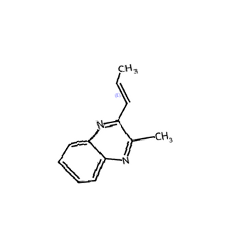 C/C=C/c1nc2ccccc2nc1C